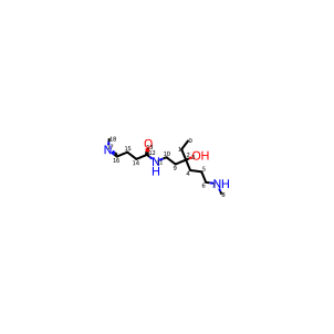 CCC(O)(CCCNC)CCNC(=O)CC/C=N\C